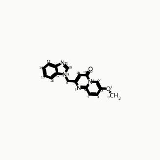 COc1ccc2nc(Cn3cnc4ccccc43)cc(=O)n2c1